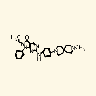 CCn1c(=O)c2cnc(Nc3ccc(N4CCC5(CCN(C)CC5)CC4)cc3)nc2n1-c1ccccc1